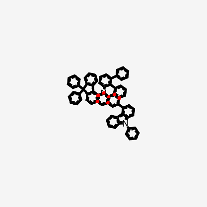 c1ccc(-c2ccccc2-c2c(-c3ccccc3)cccc2N(c2ccc(-c3cccc4c3c3ccccc3n4-c3ccccc3)cc2)c2cccc3c2-c2ccccc2C3(c2ccccc2)c2ccccc2)cc1